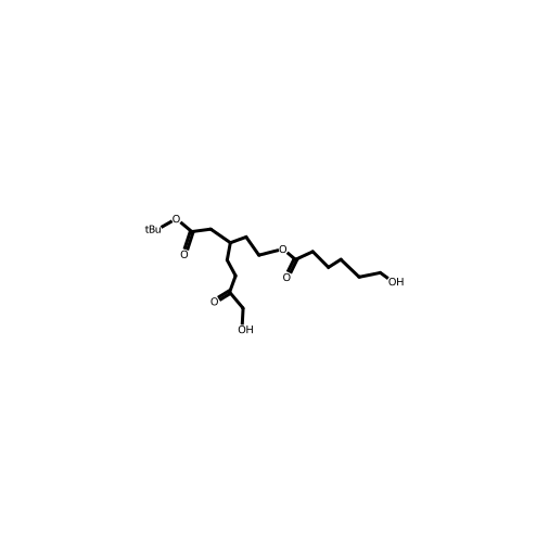 CC(C)(C)OC(=O)CC(CCOC(=O)CCCCCO)CCC(=O)CO